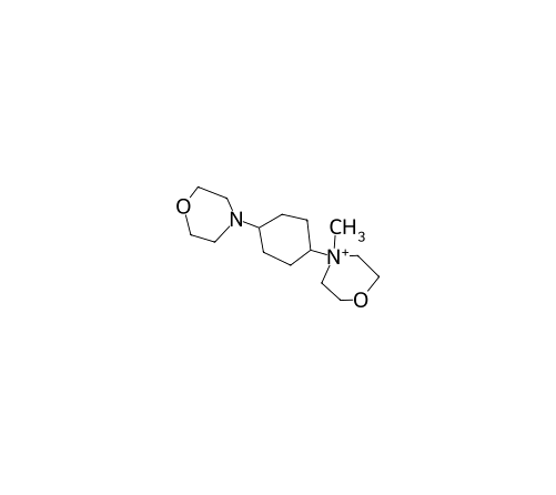 C[N+]1(C2CCC(N3CCOCC3)CC2)CCOCC1